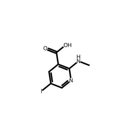 CNc1ncc(I)cc1C(=O)O